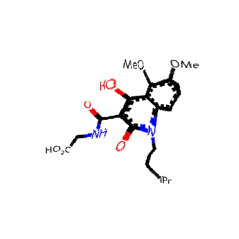 COc1ccc2c(c(O)c(C(=O)NCC(=O)O)c(=O)n2CCC(C)C)c1OC